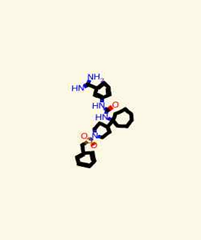 N=C(N)c1cccc(NC(=O)NC2(C3CCN(S(=O)(=O)Cc4ccccc4)CC3)CCCCCC2)c1